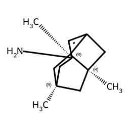 C[C@]12CC3C(=C[C@](C)(N)C1)C[C@@]3(C)C2